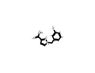 O=C(O)c1ccn(Cc2cc[c]c(F)c2)n1